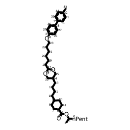 CCCCCC(C)OC(=O)C1CCC(CCCCC2COC(CCCCCCOc3ccc(-c4ccc(C)cc4)cc3)OC2)CC1